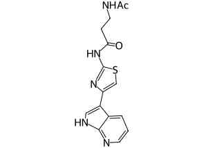 CC(=O)NCCC(=O)Nc1nc(-c2c[nH]c3ncccc23)cs1